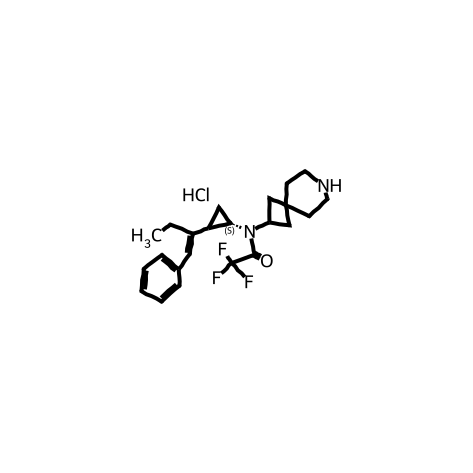 CCC(=Cc1ccccc1)C1C[C@@H]1N(C(=O)C(F)(F)F)C1CC2(CCNCC2)C1.Cl